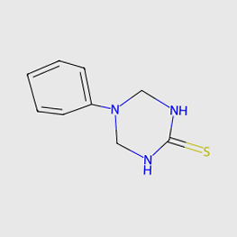 S=C1NCN(c2ccccc2)CN1